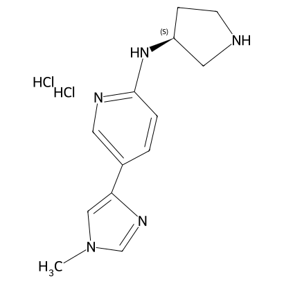 Cl.Cl.Cn1cnc(-c2ccc(N[C@H]3CCNC3)nc2)c1